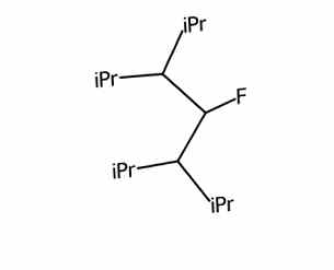 CC(C)C(C(C)C)C(F)C(C(C)C)C(C)C